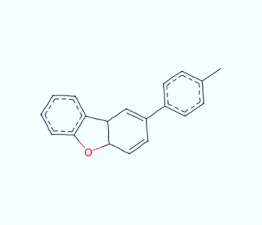 Cc1ccc(C2=CC3c4ccccc4OC3C=C2)cc1